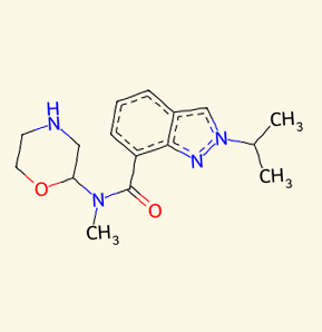 CC(C)n1cc2cccc(C(=O)N(C)C3CNCCO3)c2n1